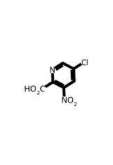 O=C(O)c1ncc(Cl)cc1[N+](=O)[O-]